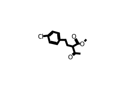 COC(=O)C(CCc1ccc(Cl)cc1)C(C)=O